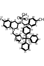 Cc1ccc(CN(C2Cc3cc(Br)ccc3N(Cc3cn(C(c4ccccc4)(c4ccccc4)c4ccccc4)cn3)C2)S(C)(=O)=O)cc1